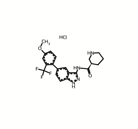 COc1ccc(-c2ccc3[nH]nc(NC(=O)[C@@H]4CCCNC4)c3c2)c(C(F)(F)F)c1.Cl